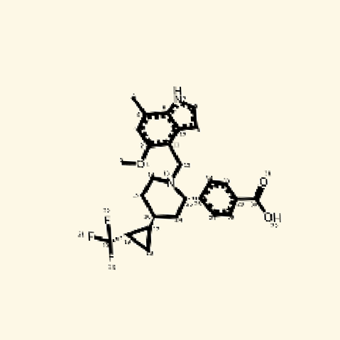 COc1cc(C)c2[nH]ccc2c1CN1CC[C@H](C2C[C@@H]2C(F)(F)F)C[C@H]1c1ccc(C(=O)O)cc1